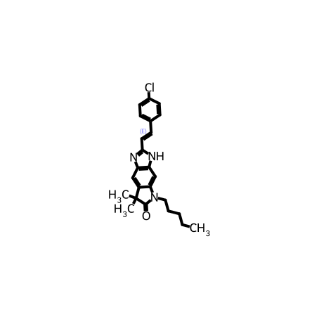 CCCCCN1C(=O)C(C)(C)c2cc3nc(/C=C/c4ccc(Cl)cc4)[nH]c3cc21